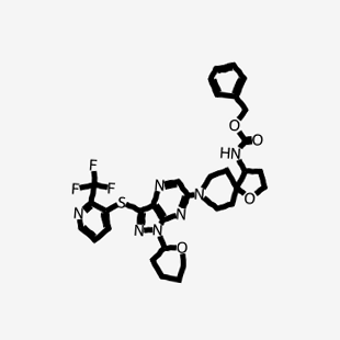 O=C(NC1CCOC12CCN(c1cnc3c(Sc4cccnc4C(F)(F)F)nn(C4CCCCO4)c3n1)CC2)OCc1ccccc1